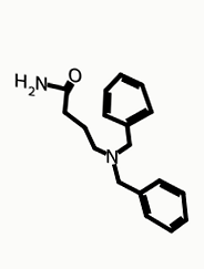 NC(=O)CCCN(Cc1ccccc1)Cc1ccccc1